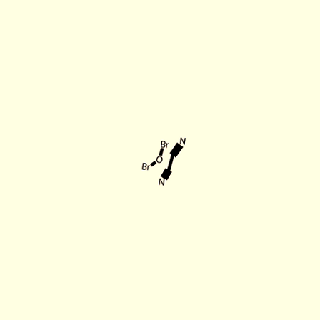 BrOBr.N#CC#N